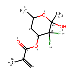 C=C(C(=O)OC1CC(C(F)(F)F)OC(O)(C(F)(F)F)C1(F)F)C(F)(F)F